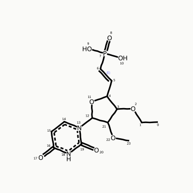 CCOC1C(/C=C/P(=O)(O)O)OC(n2ccc(=O)[nH]c2=O)C1OC